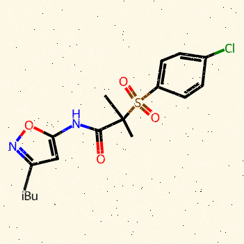 CCC(C)c1cc(NC(=O)C(C)(C)S(=O)(=O)c2ccc(Cl)cc2)on1